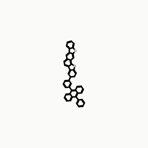 C1=c2oc3c(ccc4cc5c(cc43)oc3ccccc35)c2=CC(c2cccc(-c3c4ccccc4c(-c4ccccc4)c4ccccc34)c2)C1